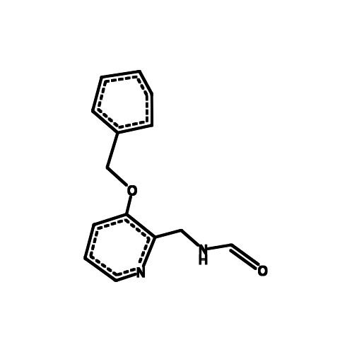 O=CNCc1ncccc1OCc1ccccc1